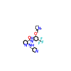 CN1CCC[C@@H]1COc1cc(NC(=O)c2cccnc2NCc2ccncc2)cc(C(F)(F)F)c1